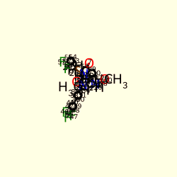 [2H]C([2H])(Sc1cc(=O)c2ccccc2n1C([2H])([2H])C(=O)N(C1CCN(C([2H])([2H])COC)CC1)C([2H])(C)c1ccc(-c2ccc(C(F)(F)F)cc2)cc1)c1cccc(F)c1F